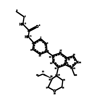 CCNC(=O)Nc1ccc(-c2nc(N3CCOC[C@@H]3CC)c3c(cnn3C)n2)cc1